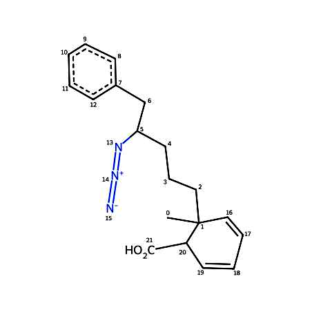 CC1(CCCC(Cc2ccccc2)N=[N+]=[N-])C=CC=CC1C(=O)O